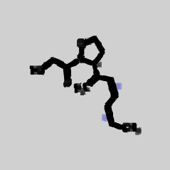 C=C(/C=C\C=C/C)[C@@H]1CCON1C(=O)CO